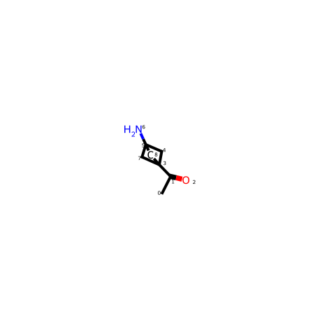 CC(=O)C12CC(N)(C1)C2